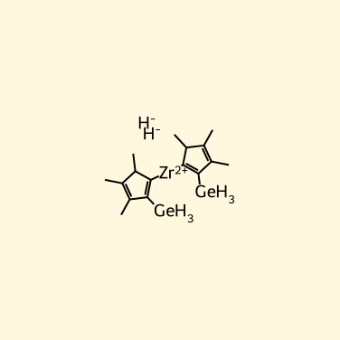 CC1=C(C)C(C)[C]([Zr+2][C]2=[C]([GeH3])C(C)=C(C)C2C)=[C]1[GeH3].[H-].[H-]